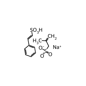 C=C(C)CS(=O)(=O)[O-].O=S(=O)(O)C=Cc1ccccc1.[Na+]